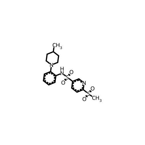 CC1CCN(c2ccccc2NS(=O)(=O)c2ccc(S(C)(=O)=O)nc2)CC1